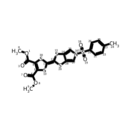 COC(=O)C1=C(C(=O)OC)SC(=C2Sc3cn(S(=O)(=O)c4ccc(C)cc4)cc3S2)S1